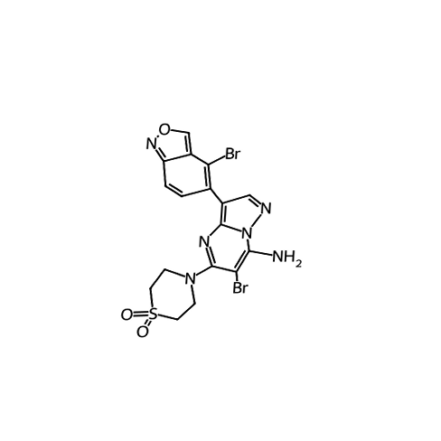 Nc1c(Br)c(N2CCS(=O)(=O)CC2)nc2c(-c3ccc4nocc4c3Br)cnn12